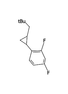 CC(C)(C)CC1CC1c1ccc(F)cc1F